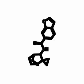 O=C(NC1C2CCN(C2)C12CC2)c1ccc2ccoc2c1